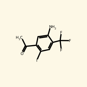 CC(=O)c1cc(N)c(C(F)(F)F)cc1I